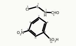 O=CNSCl.O=[N+]([O-])c1cccc(S(=O)(=O)O)c1